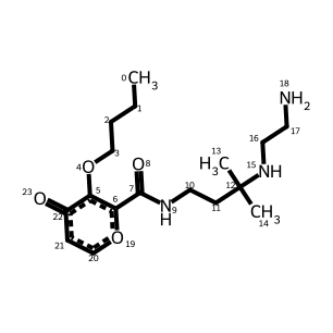 CCCCOc1c(C(=O)NCCC(C)(C)NCCN)occc1=O